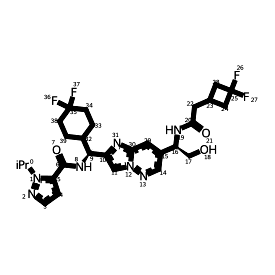 CC(C)n1nccc1C(=O)N[C@H](c1cn2ncc([C@H](CO)NC(=O)CC3CC(F)(F)C3)cc2n1)C1CCC(F)(F)CC1